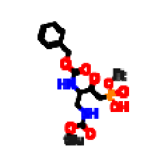 CCOP(=O)(O)CC(=O)C(CNC(=O)OC(C)(C)C)NC(=O)OCc1ccccc1